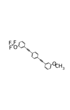 COc1cccc(C#Cc2ccc(C#Cc3cccc(OC(F)(F)F)c3)cc2)c1